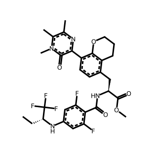 CC[C@@H](Nc1cc(F)c(C(=O)N[C@@H](Cc2ccc(-c3nc(C)c(C)n(C)c3=O)c3c2CCCO3)C(=O)OC)c(F)c1)C(F)(F)F